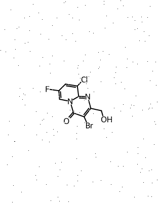 O=c1c(Br)c(CO)nc2c(Cl)cc(F)cn12